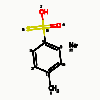 Cc1ccc(S(=O)(O)=S)cc1.[Na]